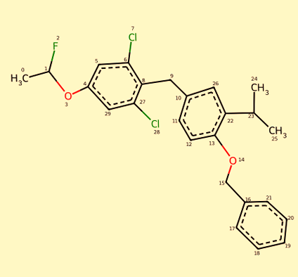 CC(F)Oc1cc(Cl)c(Cc2ccc(OCc3ccccc3)c(C(C)C)c2)c(Cl)c1